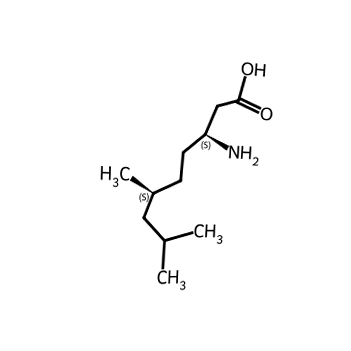 CC(C)C[C@@H](C)CC[C@H](N)CC(=O)O